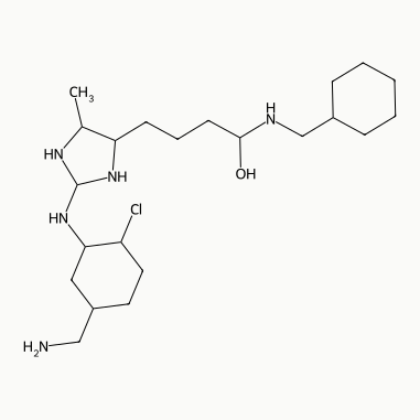 CC1NC(NC2CC(CN)CCC2Cl)NC1CCCC(O)NCC1CCCCC1